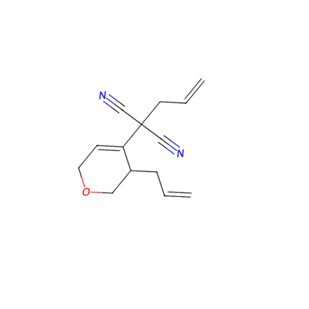 C=CCC1COCC=C1C(C#N)(C#N)CC=C